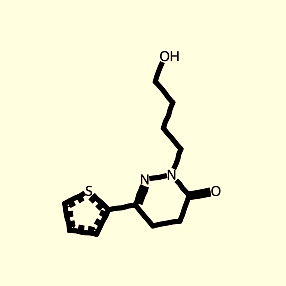 O=C1CCC(c2cccs2)=NN1CCCCO